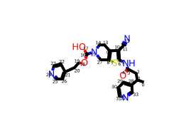 CC(CC(=O)Nc1sc2c(c1C#N)CCN(C(O)OCCc1ccncc1)C2)c1cccnc1